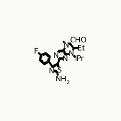 CCC1C(C=O)N(C)c2cnc(-c3sc(N)nc3-c3ccc(F)cc3)nc2N1C(C)C